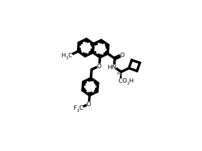 Cc1ccc2ccc(C(=O)N[C@H](C(=O)O)C3CCC3)c(OCc3ccc(OC(F)(F)F)cc3)c2c1